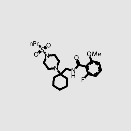 CCCS(=O)(=O)N1CCN(C2(CNC(=O)c3c(F)cccc3OC)CCCCC2)CC1